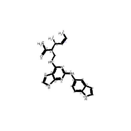 C/C=C\[C@H](C)[C@@H](CNc1nc(Nc2ccc3[nH]ccc3c2)nc2[nH]cnc12)C(N)=O